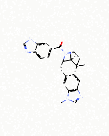 Cn1cnc2cc3c(cc21)CC1N(C(=O)c2ccc4nc[nH]c4c2)CCC3(C)C1(C)C